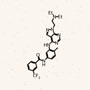 CCN(CC)CCn1ncc2c(Nc3cc(NC(=O)c4cccc(C(F)(F)F)c4)ccc3C)ncnc21